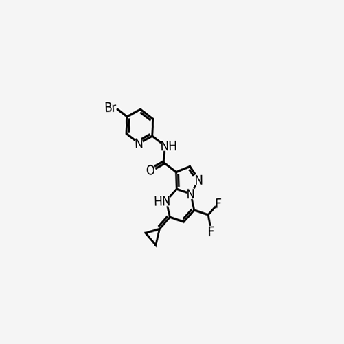 O=C(Nc1ccc(Br)cn1)c1cnn2c1NC(=C1CC1)C=C2C(F)F